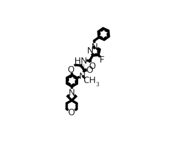 CN1C(=O)[C@@H](NC(=O)c2nn(Cc3ccccc3)cc2F)COc2ccc(N3CC4(CCOCC4)C3)cc21